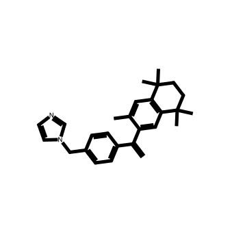 C=C(c1ccc(Cn2ccnc2)cc1)c1cc2c(cc1C)C(C)(C)CCC2(C)C